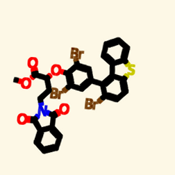 COC(=O)C(CCN1C(=O)c2ccccc2C1=O)Oc1c(Br)cc(-c2c(Br)ccc3sc4ccccc4c23)cc1Br